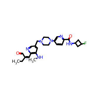 CC/C(C=O)=C/c1ncc(CN2CCN(c3ccc(C(=O)NC4CC(F)C4)nc3)CC2)cc1NC